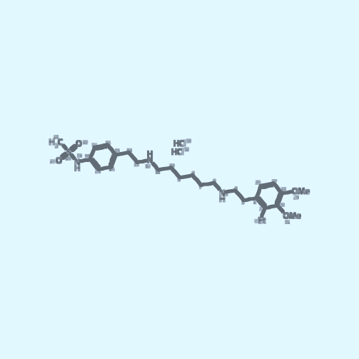 CCc1c(CCNCCCCCCNCCc2ccc(NS(C)(=O)=O)cc2)ccc(OC)c1OC.Cl.Cl